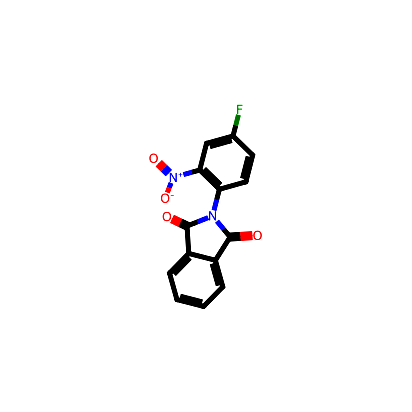 O=C1c2ccccc2C(=O)N1c1ccc(F)cc1[N+](=O)[O-]